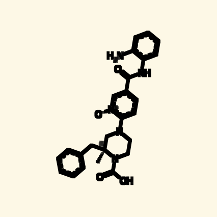 C[C@]1(Cc2ccccc2)CN(c2ccc(C(=O)Nc3ccccc3N)c[n+]2[O-])CCN1C(=O)O